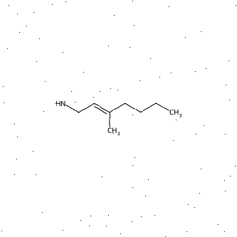 CCCC/C(C)=C/C[NH]